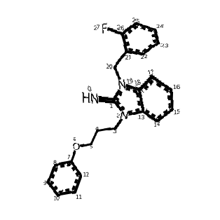 N=c1n(CCCOc2ccccc2)c2ccccc2n1Cc1ccccc1F